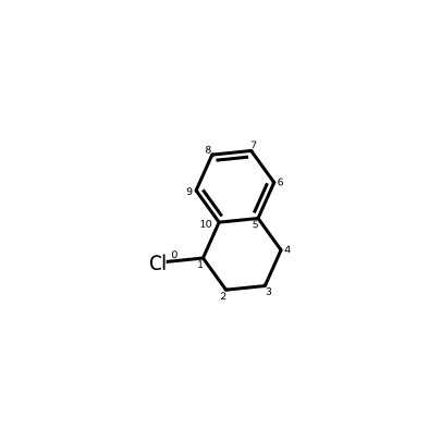 ClC1CCCc2ccccc21